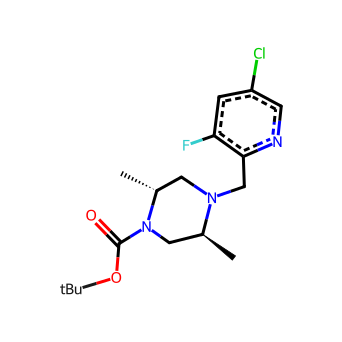 C[C@@H]1CN(Cc2ncc(Cl)cc2F)[C@@H](C)CN1C(=O)OC(C)(C)C